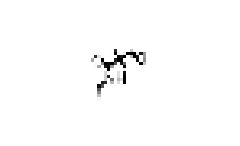 CCNC(=O)C(C)(C)[C]=O